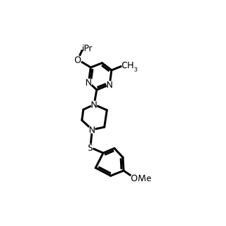 COc1ccc(SN2CCN(c3nc(C)cc(OC(C)C)n3)CC2)cc1